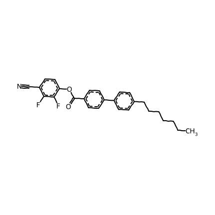 CCCCCCCc1ccc(-c2ccc(C(=O)Oc3ccc(C#N)c(F)c3F)cc2)cc1